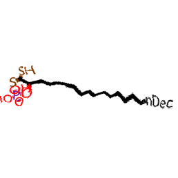 CCCCCCCCCCCCCCCCCCCCCCCCC(OP(=O)(O)O)C(=S)S